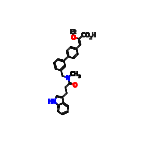 CCO/C(=C\c1ccc(-c2cccc(CN(C)C(=O)CCc3c[nH]c4ccccc34)c2)cc1)C(=O)O